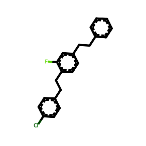 Fc1cc(CCc2ccccc2)ccc1CCc1ccc(Cl)cc1